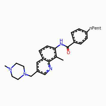 CCCCCc1ccc(C(=O)Nc2ccc3cc(CN4CCN(C)CC4)cnc3c2C)cc1